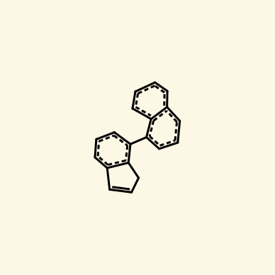 C1=Cc2cccc(-c3cccc4ccccc34)c2C1